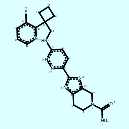 NC(=O)N1CCc2nc(-c3ccc(NCC4(c5ncccc5F)CCC4)nn3)sc2C1